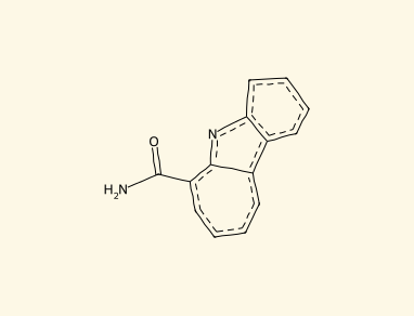 NC(=O)c1ccccc2c3ccccc3nc1-2